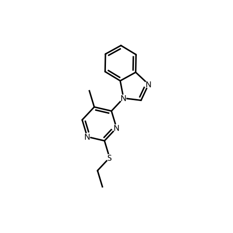 CCSc1ncc(C)c(-n2cnc3ccccc32)n1